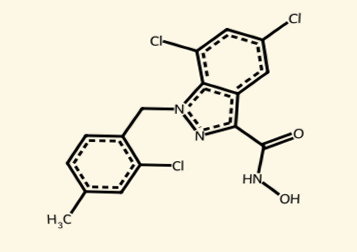 Cc1ccc(Cn2nc(C(=O)NO)c3cc(Cl)cc(Cl)c32)c(Cl)c1